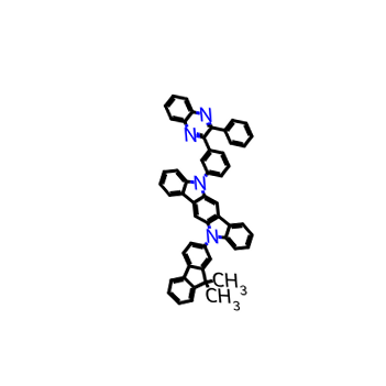 CC1(C)c2ccccc2-c2ccc(-n3c4ccccc4c4cc5c(cc43)c3ccccc3n5-c3cccc(-c4nc5ccccc5nc4-c4ccccc4)c3)cc21